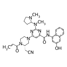 C=CC(=O)N1CCN(c2cc(C(=O)Nc3cc(O)cc4ccccc34)nc(N(C)C3CCCN3C)n2)C[C@@H]1CC#N